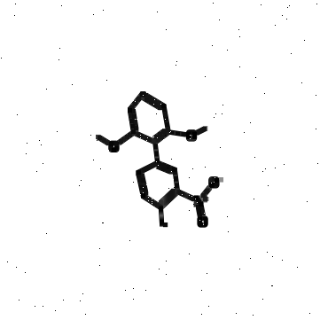 [CH2]c1ccc(-c2c(OC)cccc2OC)cc1[N+](=O)[O-]